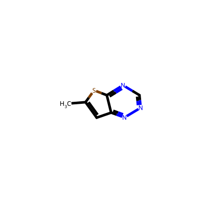 Cc1cc2nncnc2s1